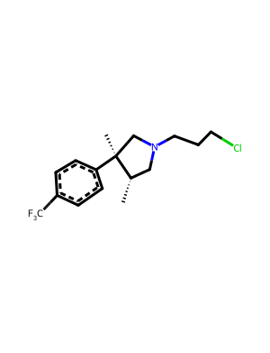 C[C@H]1CN(CCCCl)C[C@]1(C)c1ccc(C(F)(F)F)cc1